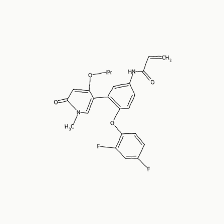 C=CC(=O)Nc1ccc(Oc2ccc(F)cc2F)c(-c2cn(C)c(=O)cc2OC(C)C)c1